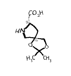 CC1(C)OC[C@]2(CN[C@H](C(=O)O)C2)O1